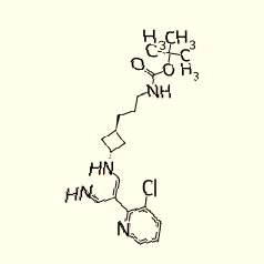 CC(C)(C)OC(=O)NCCC[C@H]1C[C@H](N/C=C(\C=N)c2ncccc2Cl)C1